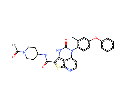 CCC(=O)N1CCC(NC(=O)c2sc3nccc4c3c2NC(=O)N4c2ccc(Oc3ccccc3)cc2C)CC1